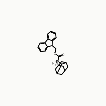 NC12CC3CC(C1)C(NC(=O)OCC1c4ccccc4-c4ccccc41)C(C3)C2